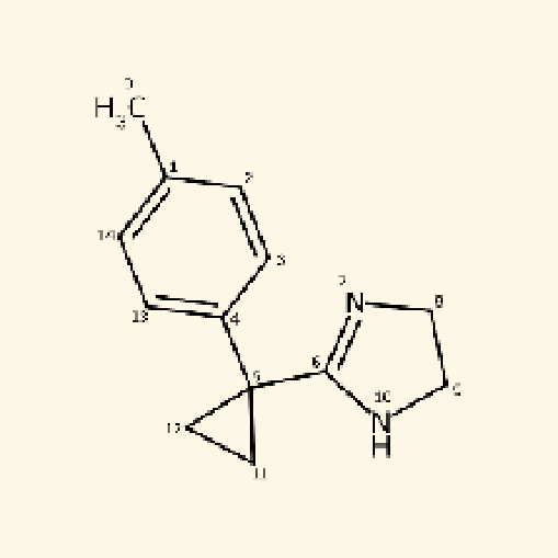 Cc1ccc(C2(C3=NCCN3)CC2)cc1